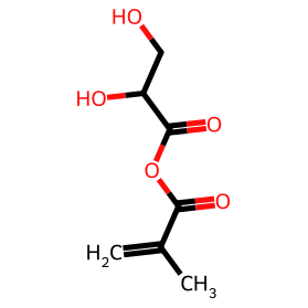 C=C(C)C(=O)OC(=O)C(O)CO